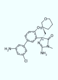 CN1C(=O)[C@@]2(C[C@@]3(CCCOC3)Oc3ccc(-c4cc(N)cc(Cl)c4)cc32)N=C1N